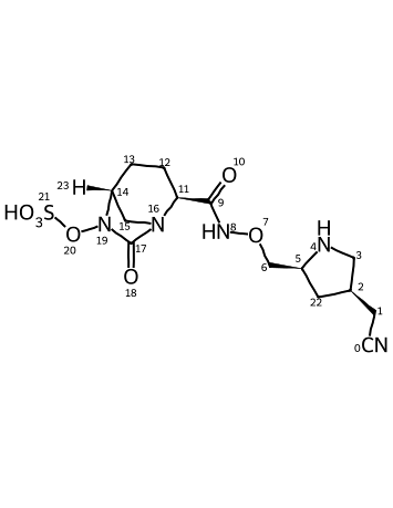 N#CC[C@@H]1CN[C@H](CONC(=O)[C@@H]2CC[C@@H]3CN2C(=O)N3OS(=O)(=O)O)C1